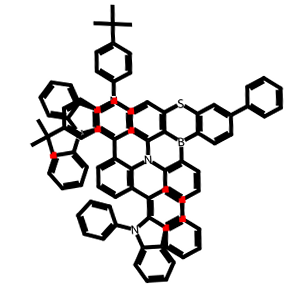 CC(C)(C)c1ccc(N(c2ccc(C(C)(C)C)cc2)c2cc3c4c(c2)N(c2c(-c5cccc6c7ccccc7n(-c7ccccc7)c56)cccc2-c2cccc5c6ccccc6n(-c6ccccc6)c25)c2cc(-c5ccccc5)ccc2B4c2ccc(-c4ccccc4)cc2S3)cc1